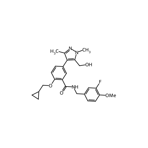 COc1ccc(CNC(=O)c2cc(-c3c(C)nn(C)c3CO)ccc2OCC2CC2)cc1F